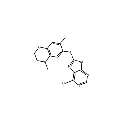 CN1CCOc2cc(I)c(Sc3nc4c(N)ncnc4[nH]3)cc21